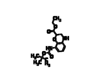 CCOC(=O)C1CNc2cccc(NC(=O)OC(C)(C)C)c2O1